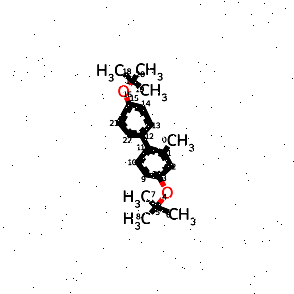 Cc1cc(OC(C)(C)C)ccc1-c1ccc(OC(C)(C)C)cc1